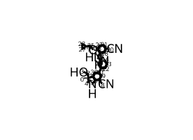 C[C@]1(CO)CNc2c(C#N)cc(-c3ccnc(Nc4cc(C#N)ccc4OCC4CC4)n3)cc21